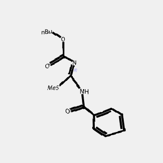 CCCCOC(=O)/N=C(/NC(=O)c1ccccc1)SC